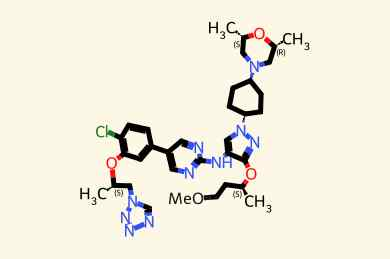 COCC[C@H](C)Oc1nn([C@H]2CC[C@H](N3C[C@@H](C)O[C@@H](C)C3)CC2)cc1Nc1ncc(-c2ccc(Cl)c(O[C@@H](C)Cn3cnnn3)c2)cn1